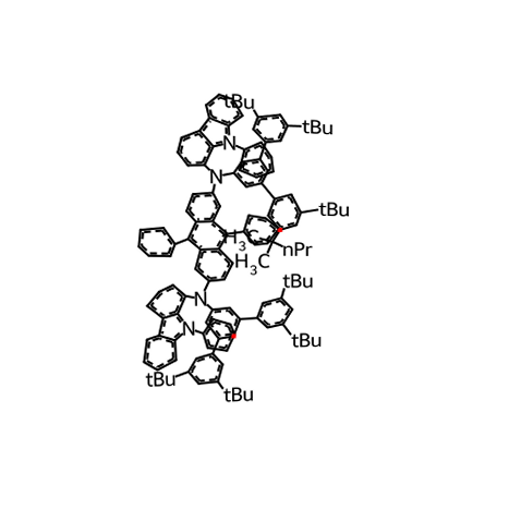 CCCC(C)(C)c1cc(-c2cc(-c3cc(C(C)(C)C)cc(C(C)(C)C)c3)cc(N(c3ccc4c(-c5ccccc5)c5cc(N(c6cc(-c7cc(C(C)(C)C)cc(C(C)(C)C)c7)cc(-c7cc(C(C)(C)C)cc(C(C)(C)C)c7)c6)c6cccc7c8ccccc8n(-c8ccccc8)c67)ccc5c(-c5ccccc5)c4c3)c3cccc4c5ccccc5n(-c5ccccc5)c34)c2)cc(C(C)(C)C)c1